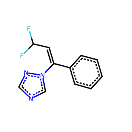 FC(F)C=C(c1ccccc1)n1cncn1